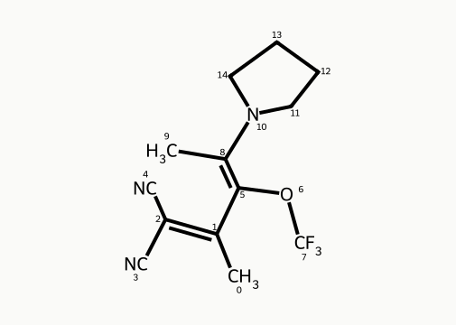 CC(=C(C#N)C#N)/C(OC(F)(F)F)=C(\C)N1CCCC1